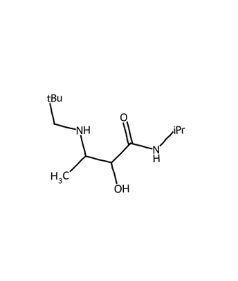 CC(C)NC(=O)C(O)C(C)NCC(C)(C)C